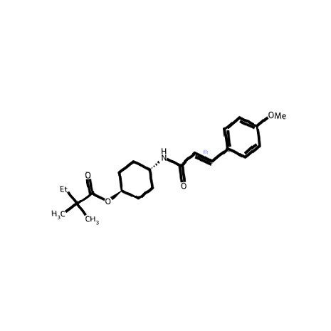 CCC(C)(C)C(=O)O[C@H]1CC[C@H](NC(=O)/C=C/c2ccc(OC)cc2)CC1